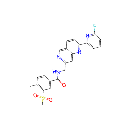 Cc1ccc(C(=O)NCc2cc3nc(-c4cccc(F)n4)ccc3cn2)cc1S(C)(=O)=O